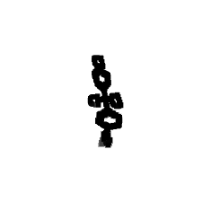 N#Cc1ccc(C(Cl)(Cl)c2ccc(Cl)cc2)cc1